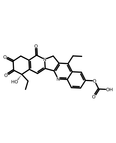 CCc1c2c(nc3ccc(OC(=O)O)cc13)-c1cc3c(c(=O)n1C2)CC(=O)C(=O)[C@]3(O)CC